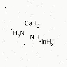 N.N.[GaH3].[InH3]